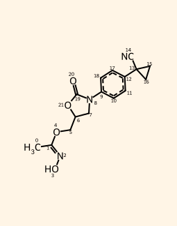 CC(=NO)OCC1CN(c2ccc(C3(C#N)CC3)cc2)C(=O)O1